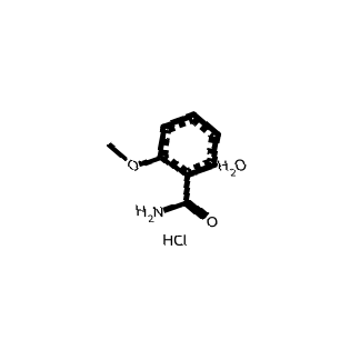 COc1ccccc1C(N)=O.Cl.O